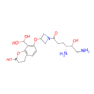 NCC(O)[C@H](N)CCC(=O)N1CC(Oc2ccc3c(c2C(O)O)OB(O)CC3)C1